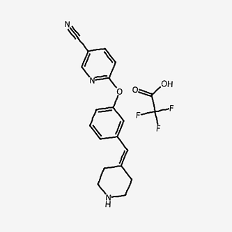 N#Cc1ccc(Oc2cccc(C=C3CCNCC3)c2)nc1.O=C(O)C(F)(F)F